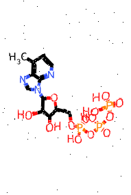 Cc1ccnc2c1ncn2C1OC(COP(=O)(O)OP(=O)(O)OP(=O)(O)O)C(O)C1O